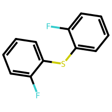 Fc1ccccc1Sc1ccccc1F